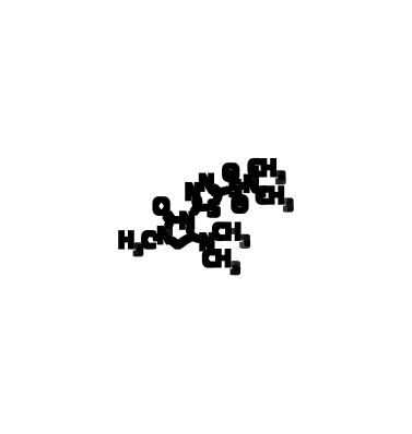 CN1CC(N(C)C)N(c2nnc(S(=O)(=O)N(C)C)s2)C1=O